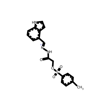 Cc1ccc(S(=O)(=O)OCC(=O)N/N=C/c2cccc3[nH]ccc23)cc1